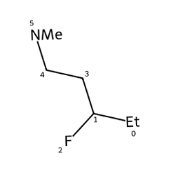 CCC(F)CCNC